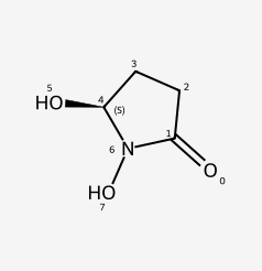 O=C1CC[C@H](O)N1O